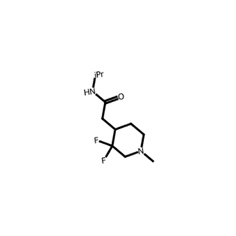 CC(C)NC(=O)CC1CCN(C)CC1(F)F